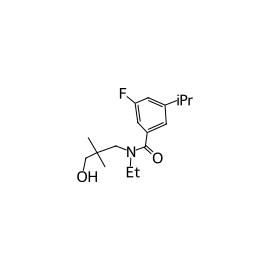 CCN(CC(C)(C)CO)C(=O)c1cc(F)cc(C(C)C)c1